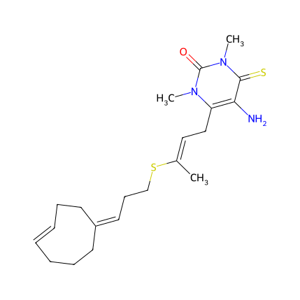 C/C(=C\Cc1c(N)c(=S)n(C)c(=O)n1C)SCC/C=C1\CC/C=C/CCC1